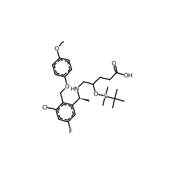 COc1ccc(OCc2c(Cl)cc(F)cc2[C@H](C)NCC(CCC(=O)O)O[Si](C)(C)C(C)(C)C)cc1